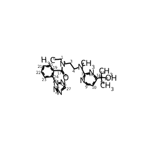 CCN(CCN(C)c1nccc(C(C)(C)O)n1)C(=O)c1ccccc1-n1ncnn1